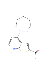 NC(=O)c1cc2c(N3CCCCCN3)ccnc2s1